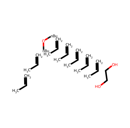 C=CC.C=CC.C=CC.C=CC.C=CC.C=CC.C=CC.CCCCOCCCC.OCCO